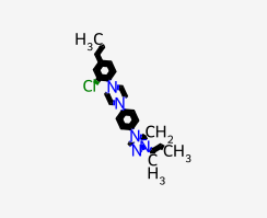 C=C1N(c2ccc(N3CCN(c4ccc(CCC)cc4Cl)CC3)cc2)C=NN1C(C)CC